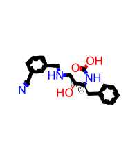 N#Cc1cccc(CNC[C@@H](O)[C@H](Cc2ccccc2)NC(=O)O)c1